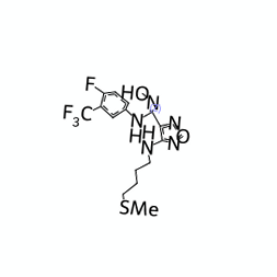 CSCCCCNc1nonc1/C(=N/O)Nc1ccc(F)c(C(F)(F)F)c1